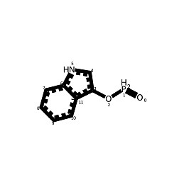 O=[PH2]Oc1c[nH]c2ccccc12